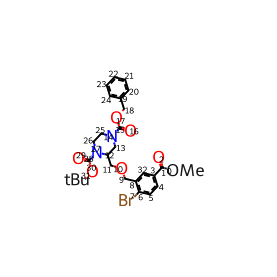 COC(=O)c1ccc(Br)c(COCC2CN(C(=O)OCc3ccccc3)CCN2C(=O)OC(C)(C)C)c1